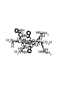 N=C(N)NCCC[C@H](NC(=O)[C@H](CCCNC(=N)N)NC(=O)[C@H](Cc1c[nH]c2ccccc12)NC(=O)[C@H](Cc1c[nH]c2ccccc12)NC(=O)[C@H](CCCNC(=N)N)NC(=O)[C@H](CCCNC(=N)N)NC(=O)[C@@H](N)Cc1c[nH]c2ccccc12)C(=O)O